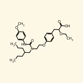 CCCC(CCC)CN(CCOc1ccc(CC(OCC)C(=O)O)cc1)C(=O)Nc1ccc(OC)cc1